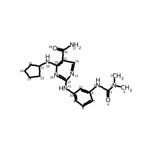 CN(C)C(=O)Nc1cccc(Nc2ncc(C(N)=O)c(NC3CCCC3)n2)c1